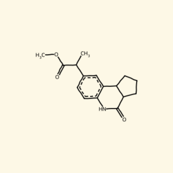 COC(=O)C(C)c1ccc2c(c1)C1CCCC1C(=O)N2